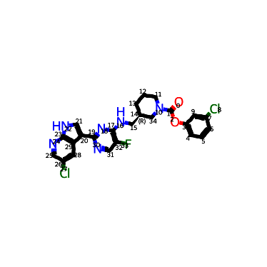 O=C(Oc1cccc(Cl)c1)N1CCC[C@H](CNc2nc(-c3c[nH]c4ncc(Cl)cc34)ncc2F)C1